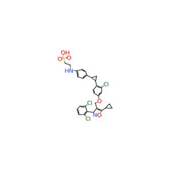 O=S(=O)(O)CCNc1ccc(C2CC2c2ccc(OCc3c(-c4c(Cl)cccc4Cl)noc3C3CC3)cc2Cl)cc1